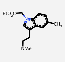 CCOC(=O)Cn1cc(CCNC)c2cc(C)ccc21